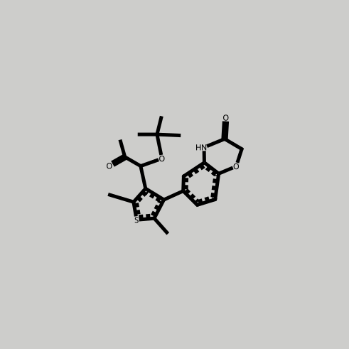 CC(=O)C(OC(C)(C)C)c1c(C)sc(C)c1-c1ccc2c(c1)NC(=O)CO2